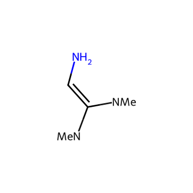 CNC(=CN)NC